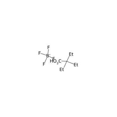 CCC(CC)(CC)C(=O)O.F[B-](F)(F)F